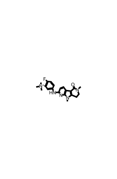 CN1CCc2c(c3ccc(Nc4ccc(F)c([N+](C)(C)C)c4)nc3n2C)C1=O